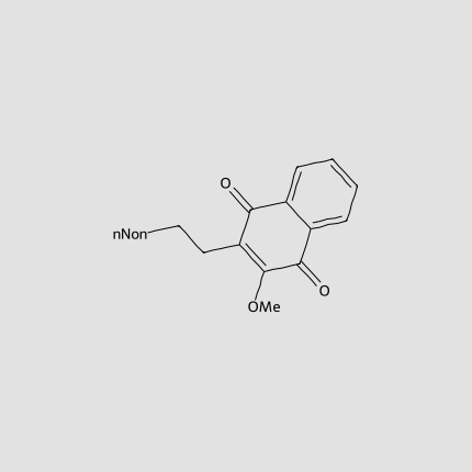 CCCCCCCCCCCC1=C(OC)C(=O)c2ccccc2C1=O